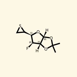 CC1(C)O[C@H]2O[C@H](C3CS3)[C@H](F)[C@H]2O1